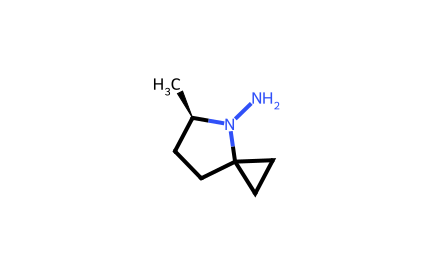 C[C@@H]1CCC2(CC2)N1N